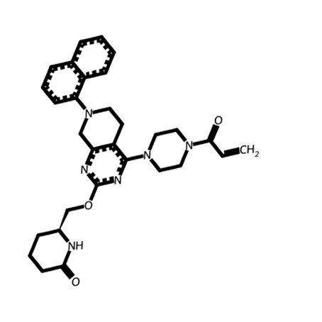 C=CC(=O)N1CCN(c2nc(OC[C@@H]3CCCC(=O)N3)nc3c2CCN(c2cccc4ccccc24)C3)CC1